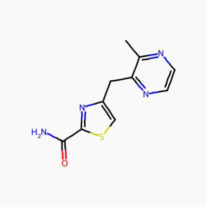 Cc1nccnc1Cc1csc(C(N)=O)n1